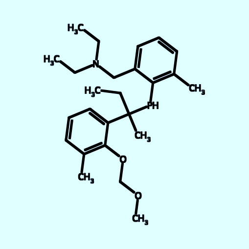 CCN(CC)Cc1cccc(C)c1PC(C)(CC)c1cccc(C)c1OCOC